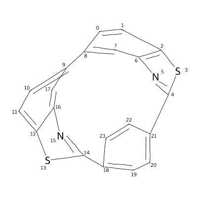 c1cc2sc3nc2cc1c1ccc2sc(nc2c1)c1ccc3cc1